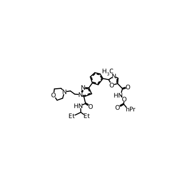 CCCC(=O)ONC(=O)C1=CN(C)C(c2cccc(-c3cc(C(=O)NC(CC)CC)n(CCN4CCOCC4)n3)c2)O1